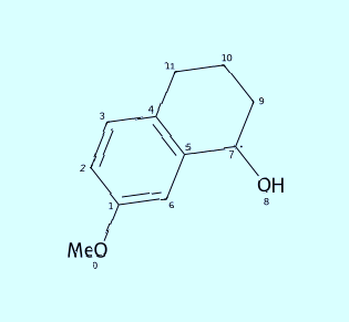 COc1ccc2c(c1)[C](O)CCC2